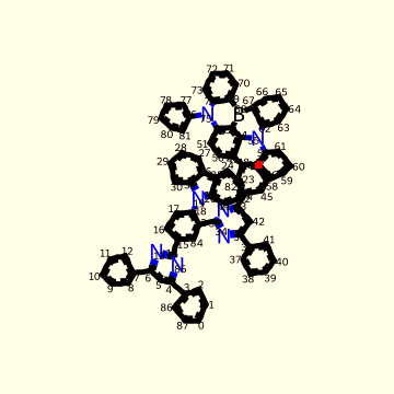 c1ccc(-c2cc(-c3ccccc3)nc(-c3ccc(-n4c5ccccc5c5ccccc54)c(-c4nc(-c5ccccc5)cc(-c5cccc(-c6ccc7c8c6N(c6ccccc6)c6ccccc6B8c6ccccc6N7c6ccccc6)c5)n4)c3)n2)cc1